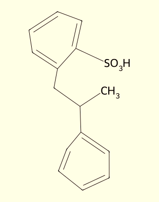 CC(Cc1ccccc1S(=O)(=O)O)c1ccccc1